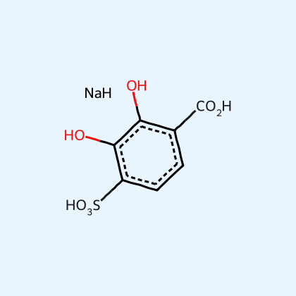 O=C(O)c1ccc(S(=O)(=O)O)c(O)c1O.[NaH]